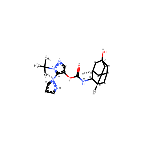 CC(C)(C)n1ncc(OC(=O)NC2[C@@H]3CC4C[C@H]2CC(O)(C4)C3)c1-n1cccn1